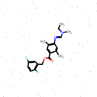 CCN(C)/C=N/c1cc(C)c(C(=O)OCc2cc(F)ccc2F)cc1C